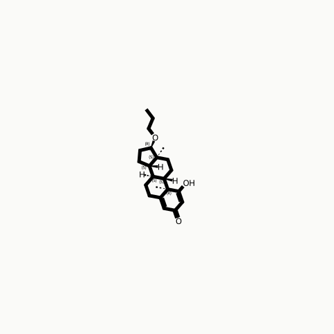 CCCO[C@@H]1CC[C@H]2[C@@H]3CCC4=CC(=O)C=C(O)[C@]4(C)[C@H]3CC[C@]12C